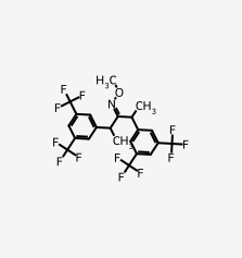 CON=C(C(C)c1cc(C(F)(F)F)cc(C(F)(F)F)c1)C(C)c1cc(C(F)(F)F)cc(C(F)(F)F)c1